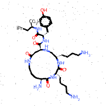 CC(C)C[C@H](NC(=O)[C@H](Cc1ccc(O)cc1)NC(=O)[C@@H]1CC(=O)NCCC[C@H](N)C(=O)N[C@@H](CCCCN)C(=O)N[C@@H](CCCCN)CN1)C(=O)O